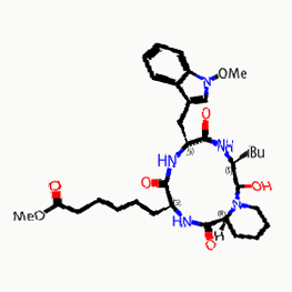 CCC(C)[C@@H]1NC(=O)[C@H](Cc2cn(OC)c3ccccc23)NC(=O)[C@H](CCCCCC(=O)OC)NC(=O)[C@H]2CCCCN2C1O